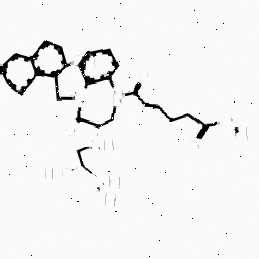 CN[C@@H](C)CN[C@H]1CN(C(=O)CCCCC(=O)OC)c2ccccc2N(Cc2c(C)ccc3ccccc23)C1=O